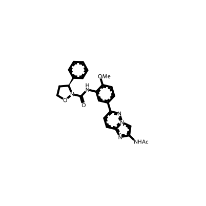 COc1ccc(-c2ccc3nc(NC(C)=O)cn3n2)cc1NC(=O)N1OCC[C@H]1c1ccccc1